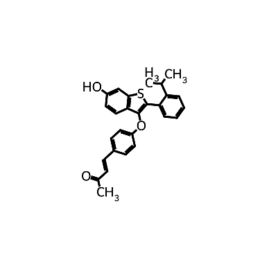 CC(=O)C=Cc1ccc(Oc2c(-c3ccccc3C(C)C)sc3cc(O)ccc23)cc1